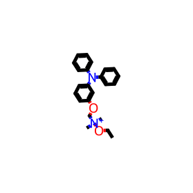 CCO[N+](C)(C)COc1cccc(N(c2ccccc2)c2ccccc2)c1